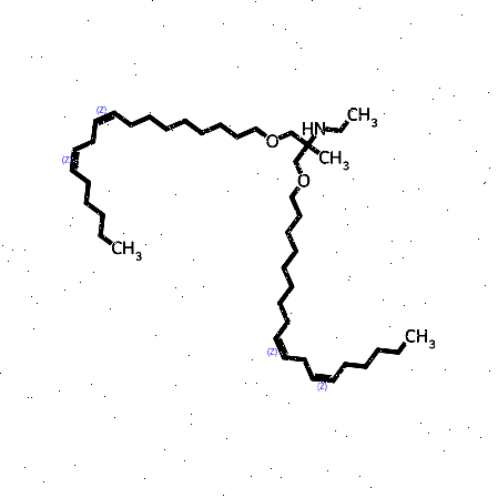 CCCCC/C=C\C/C=C\CCCCCCCCOCC(C)(COCCCCCCCC/C=C\C/C=C\CCCCC)NCC